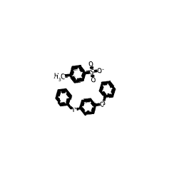 Cc1ccc(S(=O)(=O)[O-])cc1.c1ccc(Oc2ccc([I+]c3ccccc3)cc2)cc1